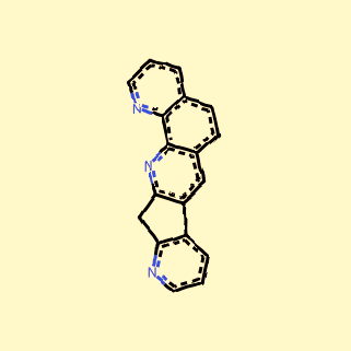 c1cnc2c(c1)-c1cc3ccc4cccnc4c3nc1C2